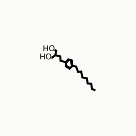 CCCCCCCCCc1ccc(CCC(CO)CO)cc1